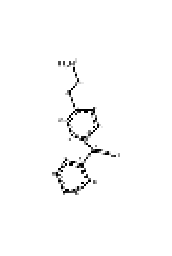 NCCc1ccc(C(=O)c2ccccc2)cc1